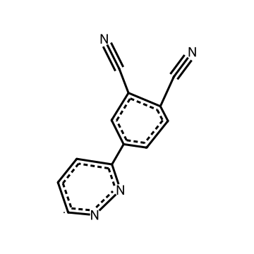 N#Cc1ccc(-c2cc[c]nn2)cc1C#N